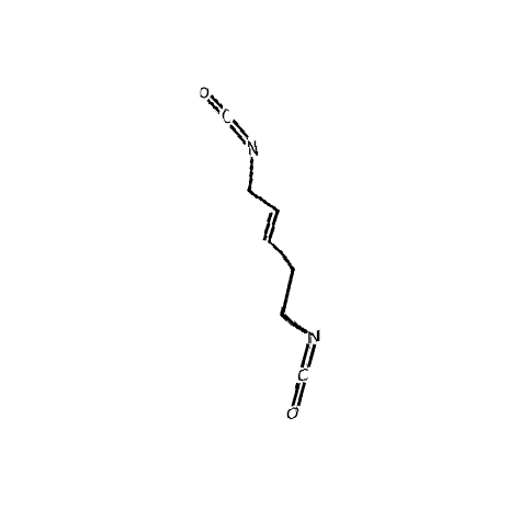 O=C=NCC=CCCN=C=O